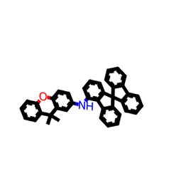 CC1(C)c2ccccc2Oc2ccc(Nc3cccc4c3-c3ccccc3C43c4ccccc4-c4ccccc43)cc21